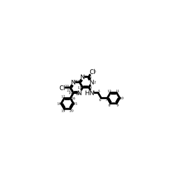 Clc1nc(NCCc2ccccc2)c2nc(-c3ccccc3)c(Cl)nc2n1